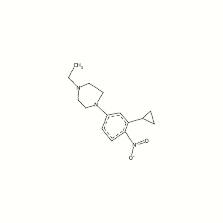 CCN1CCN(c2ccc([N+](=O)[O-])c(C3CC3)c2)CC1